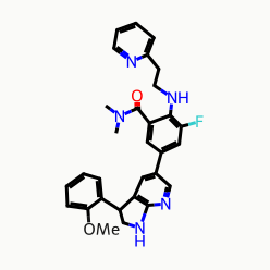 COc1ccccc1C1CNc2ncc(-c3cc(F)c(NCCc4ccccn4)c(C(=O)N(C)C)c3)cc21